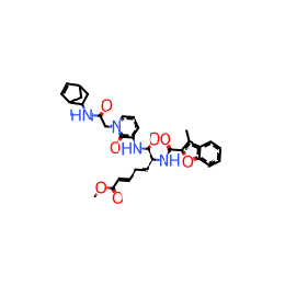 COC(=O)/C=C/CC[C@H](NC(=O)c1oc2ccccc2c1C)C(=O)Nc1cccn(CC(=O)NC2CC3C=CC2C3)c1=O